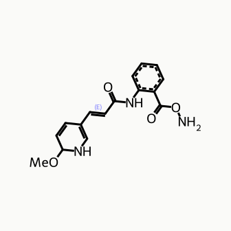 COC1C=CC(/C=C/C(=O)Nc2ccccc2C(=O)ON)=CN1